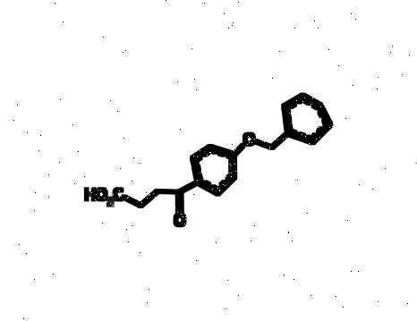 O=C(O)CCC(=O)c1ccc(OCc2ccccc2)cc1